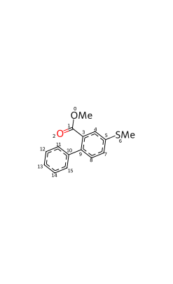 COC(=O)c1cc(SC)ccc1-c1ccccc1